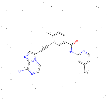 Cc1ccc(C(=O)Nc2cc(C(F)(F)F)ccn2)cc1C#Cc1cnc2c(N)nccn12